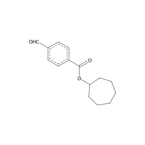 O=Cc1ccc(C(=O)OC2CCCCCC2)cc1